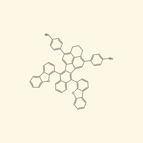 CC(C)(C)c1ccc(-c2cc3c4c(cc(-c5ccc(C(C)(C)C)cc5)c5c4c2CCC5)-c2c-3c(-c3cccc4c3oc3ccccc34)c3ccccc3c2-c2cccc3c2oc2ccccc23)cc1